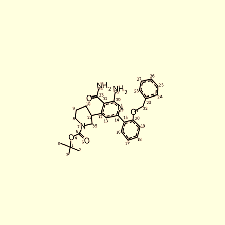 CC(C)(C)OC(=O)N1CCCC(c2cc(-c3ccccc3OCc3ccccc3)nc(N)c2C(N)=O)C1